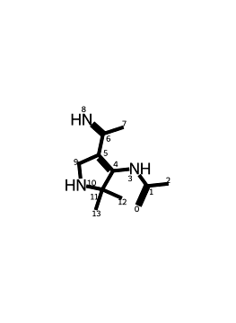 C=C(C)NC1=C(C(C)=N)CNC1(C)C